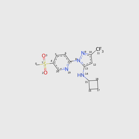 CS(=O)(=O)c1ccc(-n2nc(C(F)(F)F)cc2NC2CCC2)nc1